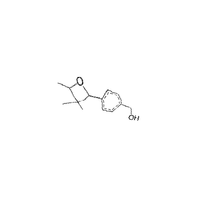 CC1OC(c2ccc(CO)cc2)C1(C)C